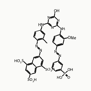 COc1cc(/N=N/c2cccc(P(=O)(O)O)c2)ccc1Nc1nc(O)nc(Nc2ccc(/N=N/c3cc(S(=O)(=O)O)c4cc(S(=O)(=O)O)cc(S(=O)(=O)O)c4c3)c(C)c2)n1